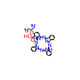 CN(C)CC(CN(C)C)Oc1ccc2c3nc4nc(nc5[nH]c(nc6nc(nc([nH]3)c2c1C(=O)O)-c1ccccc1-6)c1ccccc51)-c1ccccc1-4